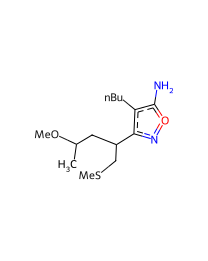 CCCCc1c(C(CSC)CC(C)OC)noc1N